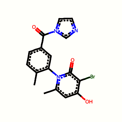 Cc1ccc(C(=O)n2ccnc2)cc1-n1c(C)cc(O)c(Br)c1=O